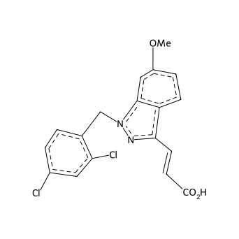 COc1ccc2c(/C=C/C(=O)O)nn(Cc3ccc(Cl)cc3Cl)c2c1